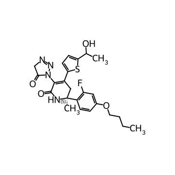 CCCCOc1ccc([C@]2(C)CC(c3ccc(C(C)O)s3)=C(N3N=NCC3=O)C(=O)N2)c(F)c1